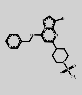 CS(=O)(=O)N1CCC(c2cc(NCc3cccnc3)n3ncc(Br)c3n2)CC1